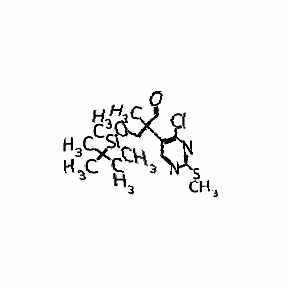 CSc1ncc(C(C)(C=O)CO[Si](C)(C)C(C)(C)C)c(Cl)n1